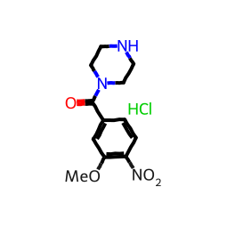 COc1cc(C(=O)N2CCNCC2)ccc1[N+](=O)[O-].Cl